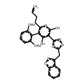 C=CCCc1nc(O)c(-c2nnc(Cc3noc4ccccc34)o2)c(O)c1-c1c(OC)cccc1OC